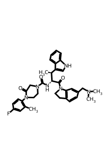 Cc1cc(F)ccc1N1CCN(C(=O)N[C@@H](C(=O)N2CCc3ccc(CN(C)C)cc32)[C@@H](C)c2c[nH]c3ccccc23)CC1=O